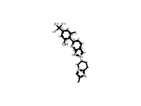 Cc1cn2c(n1)CC[C@@H](n1cc3ccc(-c4c(C)cc(C(F)(F)F)cc4O)nc3n1)C2